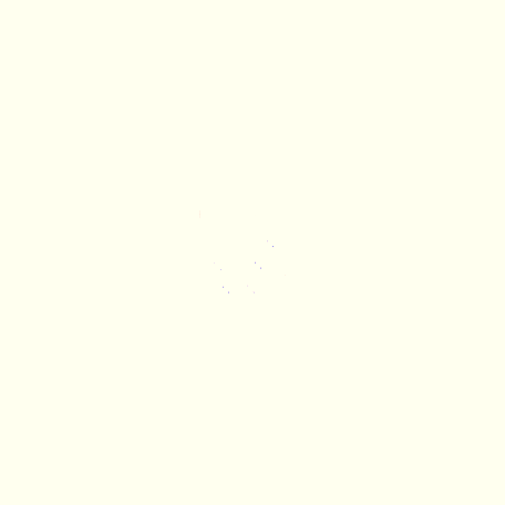 O=C(O)C1=NN=N[N+]1([O-])[N+](=O)[O-]